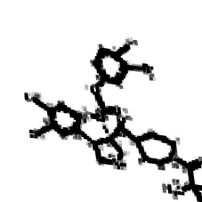 CN(C(=O)Oc1ccc(F)c(Br)c1)[C@]1(C(=O)C2CCN(C(=O)C3(C)CC3)CC2)CNC[C@H]1c1ccc(Cl)c(Cl)c1